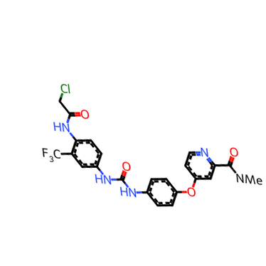 CNC(=O)c1cc(Oc2ccc(NC(=O)Nc3ccc(NC(=O)CCl)c(C(F)(F)F)c3)cc2)ccn1